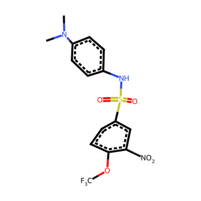 CN(C)c1ccc(NS(=O)(=O)c2ccc(OC(F)(F)F)c([N+](=O)[O-])c2)cc1